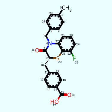 Cc1ccc(CN2C(=O)[C@@H](Cc3ccc(C(=O)O)cc3)Sc3c(F)cccc32)cc1